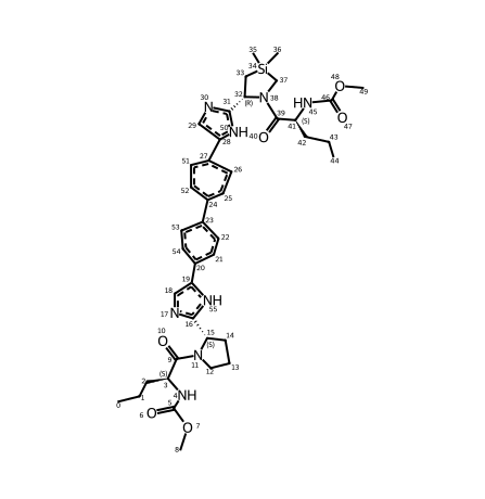 CCC[C@H](NC(=O)OC)C(=O)N1CCC[C@H]1c1ncc(-c2ccc(-c3ccc(-c4cnc([C@@H]5C[Si](C)(C)CN5C(=O)[C@H](CCC)NC(=O)OC)[nH]4)cc3)cc2)[nH]1